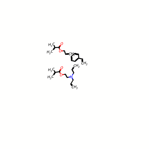 C=CCN(CC=C)CCOC(=O)C(=C)C.C=CCOC(=O)C(=C)C.C=Cc1ccccc1